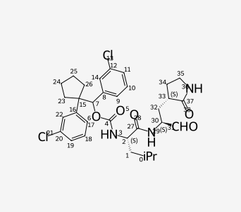 CC(C)C[C@H](NC(=O)OC(c1cccc(Cl)c1)C1(c2cccc(Cl)c2)CCCC1)C(=O)N[C@H](C=O)C[C@@H]1CCNC1=O